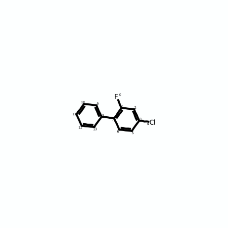 Fc1cc(Cl)ccc1-c1ccccc1